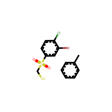 Cc1ccccc1.O=S(=O)(CS)c1ccc(Cl)c(Br)c1